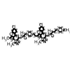 Cc1sc2c(c1C)C(c1ccc(Cl)cc1)=N[C@@H](CNC(=O)CN1CCN(CCc3sc4c(c3C)C(c3ccc(Cl)cc3)=N[C@@H](CNC(=O)CCCN3CCN(C)CC3)c3nnc(C)n3-4)CC1)c1nnc(C)n1-2